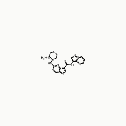 N[C@H]1COCC[C@H]1Nc1ncc2scc(C(=O)Nc3cnn4cccnc34)c2n1